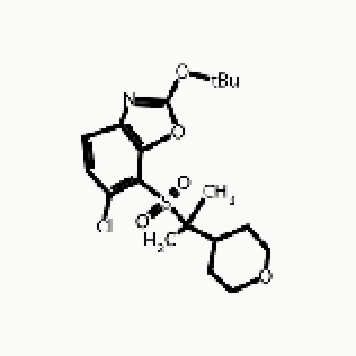 CC(C)(C)Oc1nc2ccc(Cl)c(S(=O)(=O)C(C)(C)C3CCOCC3)c2o1